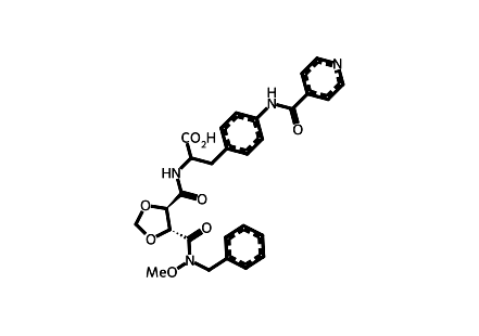 CON(Cc1ccccc1)C(=O)[C@@H]1OCO[C@H]1C(=O)NC(Cc1ccc(NC(=O)c2ccncc2)cc1)C(=O)O